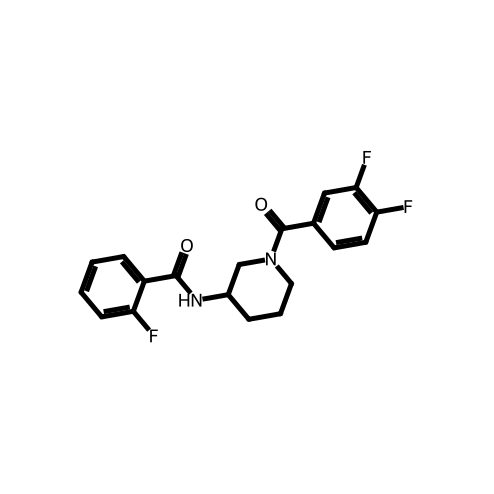 O=C(NC1CCCN(C(=O)c2ccc(F)c(F)c2)C1)c1ccccc1F